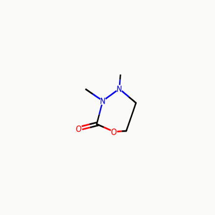 CN1CCOC(=O)N1C